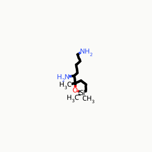 CC1(C(N)CCCCN)CCC[Si](C)(C)O1